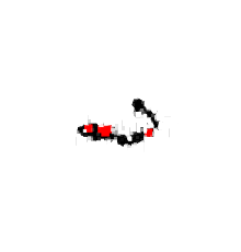 C[C@H](c1ccc(NC(=O)[C@H](C)NC(=O)[C@H](C)NC(=O)CCN2C(=O)C=CC2=O)cc1)c1ccc([C@H]2O[C@]3(C(=O)CO)[C@@](O)(C[C@H]4[C@@H]5C[C@H](F)C6=CC(=O)C=C[C@]6(C)[C@@]5(F)[C@@H](O)C[C@@]43C)O2)cc1